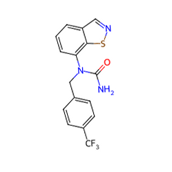 NC(=O)N(Cc1ccc(C(F)(F)F)cc1)c1cccc2cnsc12